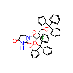 O=c1ccn([C@@H]2O[C@H](COC(c3ccccc3)(c3ccccc3)c3ccccc3)[C@H](F)[C@H]2OC(c2ccccc2)(c2ccccc2)c2ccccc2)c(=O)[nH]1